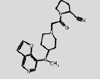 CN(c1cncc2ccoc12)C1CCN(CC(=O)N2CCCC2C#N)CC1